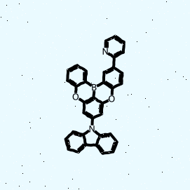 c1ccc(-c2ccc3c(c2)B2c4ccccc4Oc4cc(-n5c6ccccc6c6ccccc65)cc(c42)O3)nc1